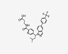 CC(C)CC(c1ccc(C(=O)NCCC(=O)O)nc1)n1ncc2cc(-c3ccc(C(F)(F)F)cc3)ccc21